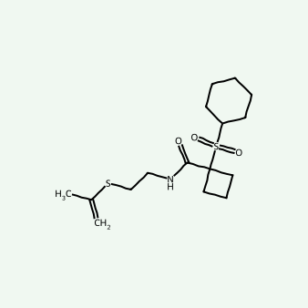 C=C(C)SCCNC(=O)C1(S(=O)(=O)C2CCCCC2)CCC1